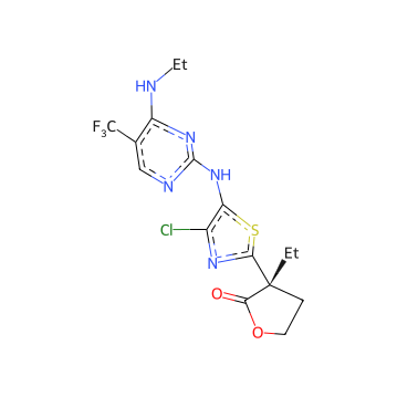 CCNc1nc(Nc2sc([C@]3(CC)CCOC3=O)nc2Cl)ncc1C(F)(F)F